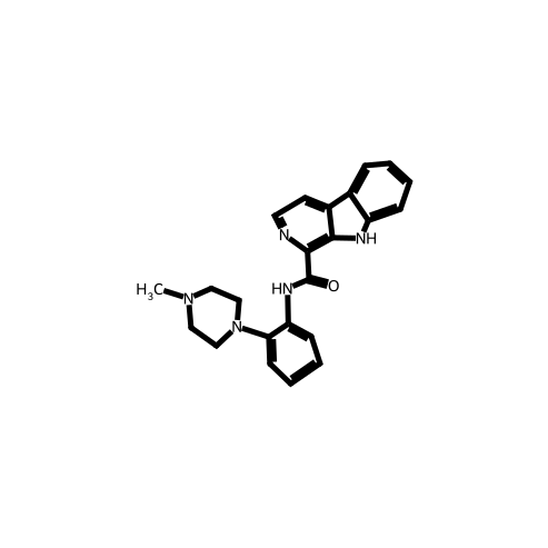 CN1CCN(c2ccccc2NC(=O)c2nccc3c2[nH]c2ccccc23)CC1